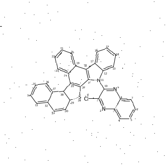 Clc1nc2ccccc2nc1-n1c2ccccc2c2c3ccccc3c3c(c21)SC1C=Cc2ccccc2C31